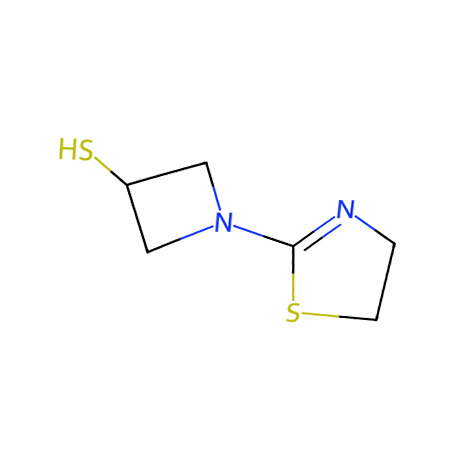 SC1CN(C2=NCCS2)C1